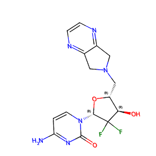 Nc1ccn([C@@H]2O[C@H](CN3Cc4nccnc4C3)[C@@H](O)C2(F)F)c(=O)n1